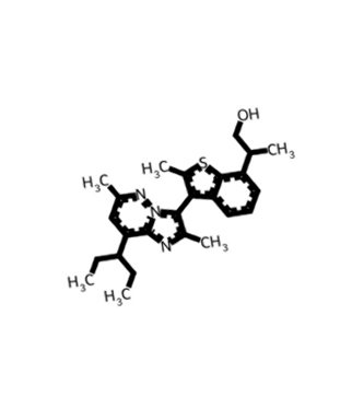 CCC(CC)c1cc(C)nn2c(-c3c(C)sc4c(C(C)CO)cccc34)c(C)nc12